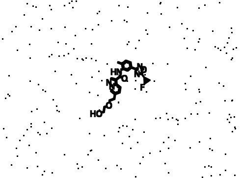 Cc1ccc(-c2noc([C@H]3C[C@@H]3F)n2)cc1NC(=O)c1cnn2cc(CCOCCO)ccc12